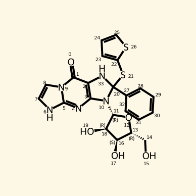 O=c1c2c(nc3[nH]ccn13)N([C@@H]1O[C@H](CO)[C@@H](O)[C@H]1O)C(Sc1cccs1)(c1ccccc1)N2